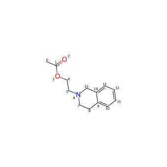 CC(=O)OCCN1CCc2ccccc2C1